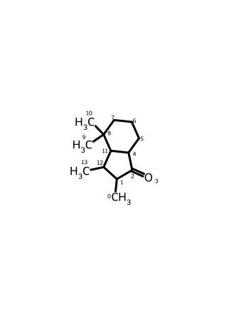 CC1C(=O)C2CCCC(C)(C)C2C1C